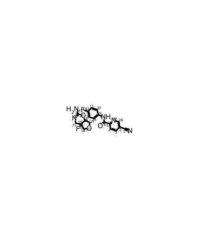 N#Cc1ccc(C(=O)Nc2ccc(F)c([C@]34COC[C@]3(F)CN=C(N)O4)c2)nc1